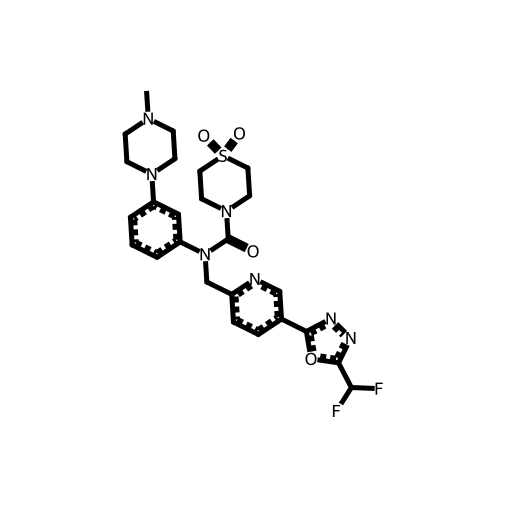 CN1CCN(c2cccc(N(Cc3ccc(-c4nnc(C(F)F)o4)cn3)C(=O)N3CCS(=O)(=O)CC3)c2)CC1